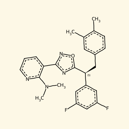 Cc1ccc(C[C@@H](c2cc(F)cc(F)c2)c2nc(-c3cccnc3N(C)C)no2)cc1C